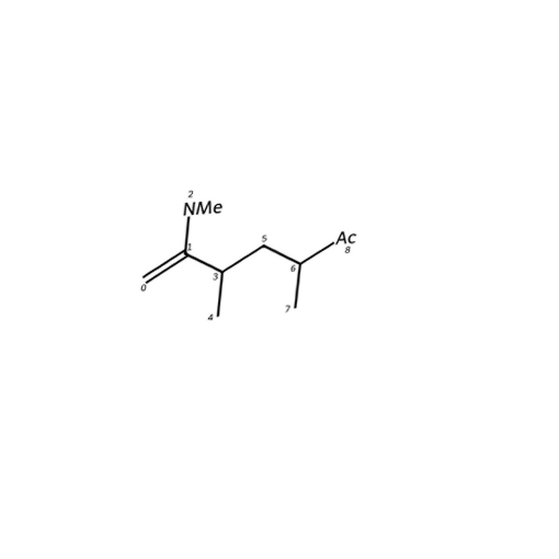 C=C(NC)C(C)CC(C)C(C)=O